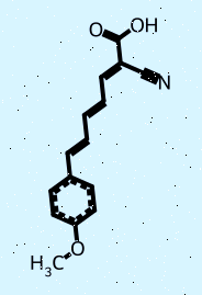 COc1ccc(/C=C/C=C/C=C(\C#N)C(=O)O)cc1